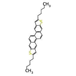 CCCCCc1cc2cc3c(ccc4c5cc6cc(CCCCC)sc6cc5ccc34)cc2s1